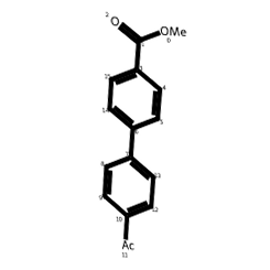 COC(=O)c1ccc(-c2ccc(C(C)=O)cc2)cc1